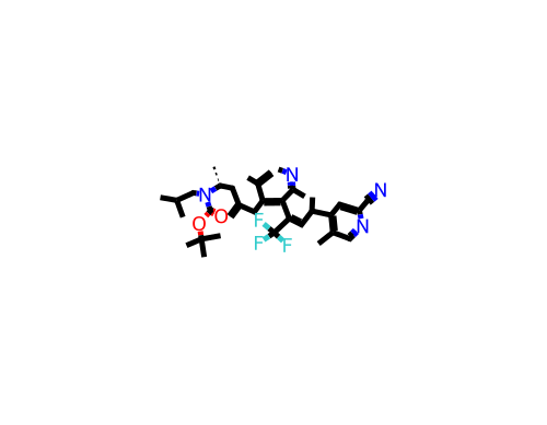 C=C(C/C(C(=C)C)=C(C(/C)=N\C)\C(=C/C(C)c1cc(C#N)ncc1C)C(F)(F)F)C[C@@H](C)N(CC(C)C)C(=O)OC(C)(C)C